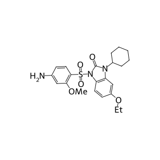 CCOc1ccc2c(c1)n(C1CCCCC1)c(=O)n2S(=O)(=O)c1ccc(N)cc1OC